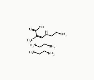 CC(=CNCCN)C(=O)O.NCCN.NCCN